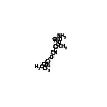 Cc1cc(-c2ccc(OCC3CCN(CC(C)(C)C(F)(F)F)CC3)cn2)ccc1C(=O)N1CCC[C@H]1C(N)=O